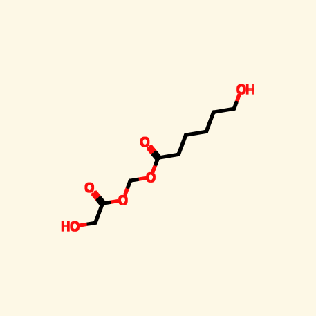 O=C(CO)OCOC(=O)CCCCCO